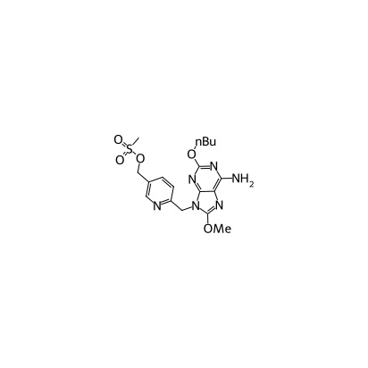 CCCCOc1nc(N)c2nc(OC)n(Cc3ccc(COS(C)(=O)=O)cn3)c2n1